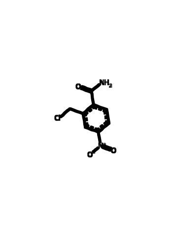 NC(=O)c1ccc([N+](=O)[O-])cc1CCl